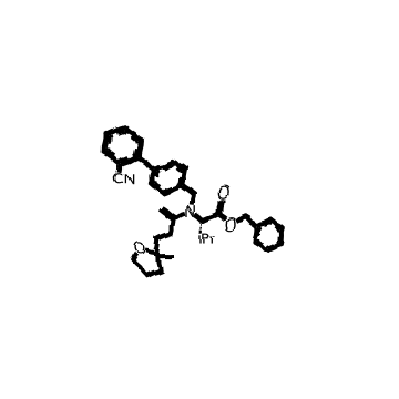 C=C(CCC1(C)CCCO1)N(Cc1ccc(-c2ccccc2C#N)cc1)[C@H](C(=O)OCc1ccccc1)C(C)C